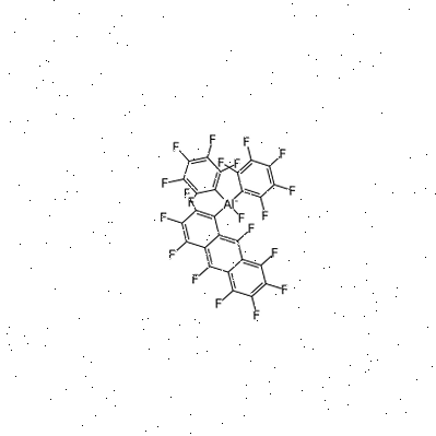 Fc1c(F)c(F)[c]([Al-]([F])([c]2c(F)c(F)c(F)c(F)c2F)[c]2c(F)c(F)c(F)c3c(F)c4c(F)c(F)c(F)c(F)c4c(F)c23)c(F)c1F